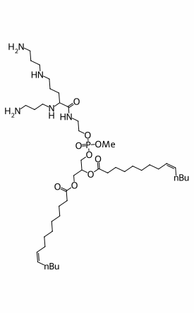 CCCC/C=C\CCCCCCCC(=O)OCC(COP(=O)(OC)OCCNC(=O)C(CCCNCCCN)NCCCN)OC(=O)CCCCCCC/C=C\CCCC